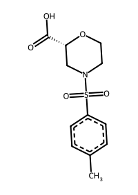 Cc1ccc(S(=O)(=O)N2CCO[C@@H](C(=O)O)C2)cc1